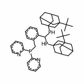 CC(C)(C)C12CC3CC(CC(PC(PC45CC6CC(C4)CC(C(C)(C)C)(C6)C5)c4ccccc4CP(c4ccccn4)c4ccccn4)(C3)C1)C2